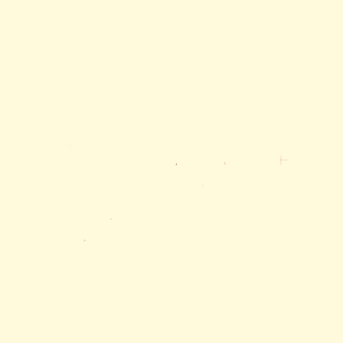 CCCCCCCc1ccccc1[CH]C1CO1